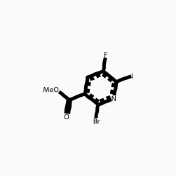 COC(=O)c1cc(F)c(I)nc1Br